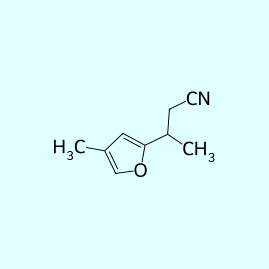 Cc1coc(C(C)CC#N)c1